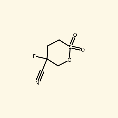 N#CC1(F)CCS(=O)(=O)OC1